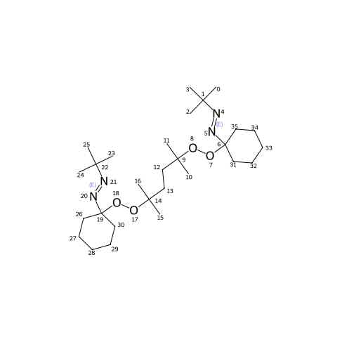 CC(C)(C)/N=N/C1(OOC(C)(C)CCC(C)(C)OOC2(/N=N/C(C)(C)C)CCCCC2)CCCCC1